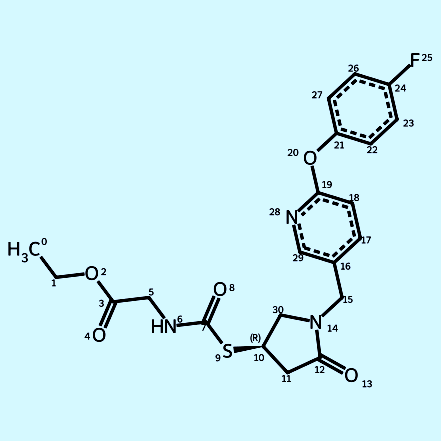 CCOC(=O)CNC(=O)S[C@@H]1CC(=O)N(Cc2ccc(Oc3ccc(F)cc3)nc2)C1